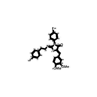 COc1ccc(/C=C2\S/C(=N\CCc3ccc(F)cc3)N(c3ccc(F)cc3)C2=O)cc1OC